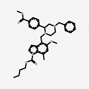 CCCCOC(=O)n1ccc2c(CN3CCN(Cc4ccccc4)CC3c3ccc(C(=O)OC)cc3)c(OC)cc(C)c21